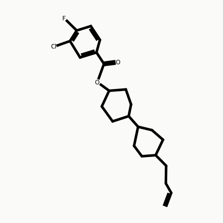 C=CCCC1CCC(C2CCC(OC(=O)c3ccc(F)c(Cl)c3)CC2)CC1